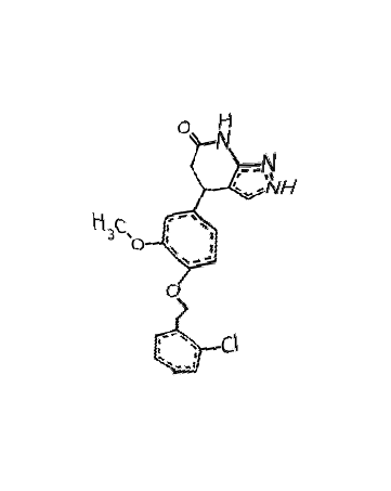 COc1cc(C2CC(=O)Nc3n[nH]cc32)ccc1OCc1ccccc1Cl